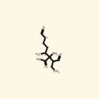 CCC(C=O)C(N)(C(=O)O)C(C)CCCC=O